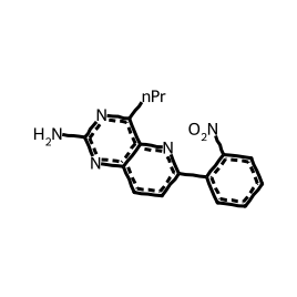 CCCc1nc(N)nc2ccc(-c3ccccc3[N+](=O)[O-])nc12